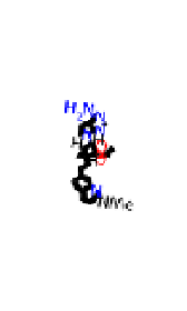 CNc1ccc2ccc(CCC34C[C@@H]3[C@@H](n3ccc5c(N)ncnc53)[C@@H]3OC(C)(C)O[C@@H]34)cc2n1